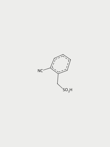 N#Cc1ccccc1CS(=O)(=O)O